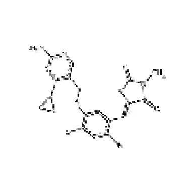 CN1C(=O)S/C(=C\c2cc(OCc3cnc(N)nc3C3CC3)c(O)cc2Br)C1=O